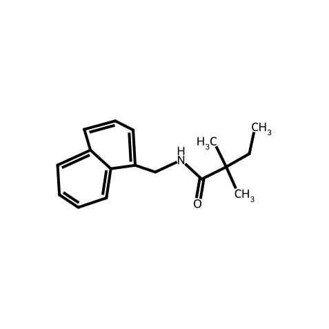 CCC(C)(C)C(=O)NCc1cccc2ccccc12